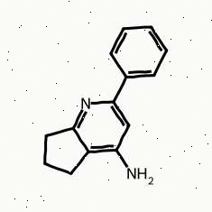 Nc1cc(-c2ccccc2)nc2c1CCC2